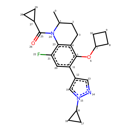 CC1CCc2c(OC3CCC3)c(-c3cnn(C4CC4)c3)cc(F)c2N1C(=O)C1CC1